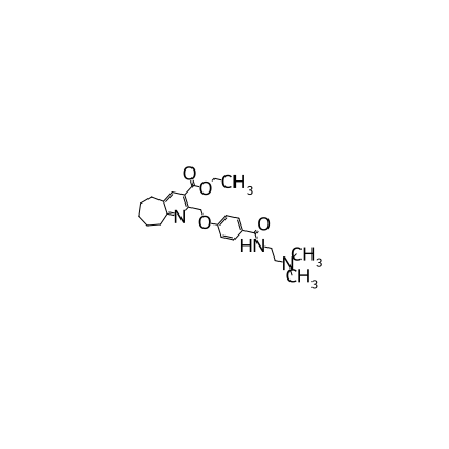 CCOC(=O)c1cc2c(nc1COc1ccc(C(=O)NCCN(C)C)cc1)CCCCC2